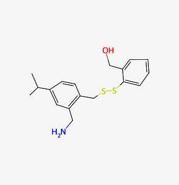 CC(C)c1ccc(CSSc2ccccc2CO)c(CN)c1